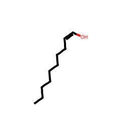 CCCCCCCC/C=[C]\O